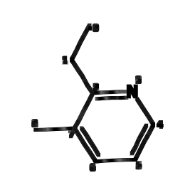 [CH2]Cc1ncccc1C